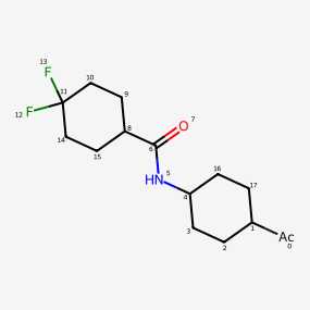 CC(=O)C1CCC(NC(=O)C2CCC(F)(F)CC2)CC1